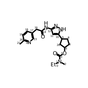 CCN(C)C(=O)OC1CCC(c2cc(NC(=O)Cc3ccc(C)nc3)n[nH]2)C1